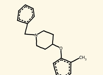 Cc1ccccc1OC1CCN(Cc2ccccc2)CC1